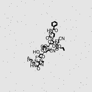 C=CCOP(=O)(OCCC#N)O[C@H]1[C@@H](F)[C@H](n2ccc(NC(=O)c3ccccc3)nc2=O)O[C@@H]1COP(=O)(O)OC(CCC#N)[C@H]1O[C@@H](n2cnc3c(=O)[nH]c(N=CN(C)C)nc32)[C@H](F)[C@@H]1O